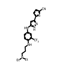 CCN(CC)CCCNc1ccc(Nc2cc(-c3ccc(C#N)s3)n[nH]2)cc1C(F)(F)F